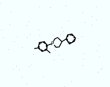 Cc1ccc(P2CCC(c3ccccc3)CC2)c(C)c1